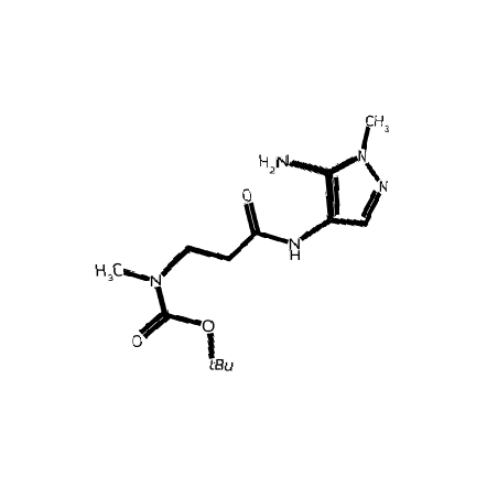 CN(CCC(=O)Nc1cnn(C)c1N)C(=O)OC(C)(C)C